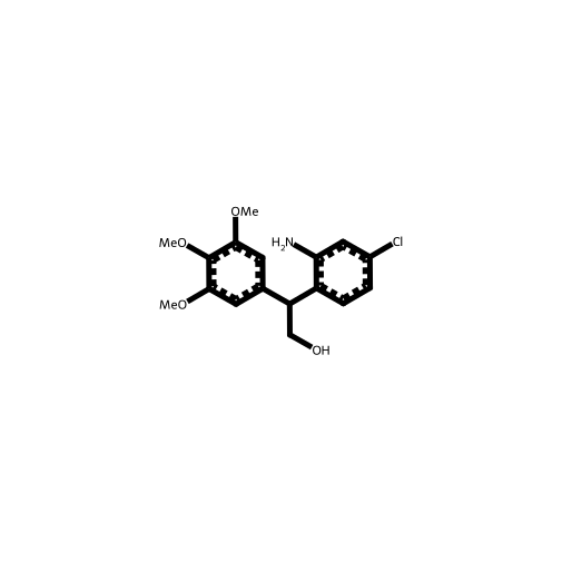 COc1cc(C(CO)c2ccc(Cl)cc2N)cc(OC)c1OC